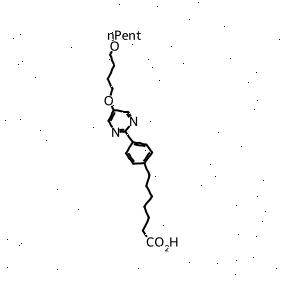 CCCCCOCCCCOc1cnc(-c2ccc(CCCCCCC(=O)O)cc2)nc1